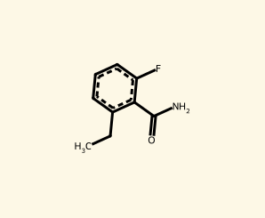 CCc1cccc(F)c1C(N)=O